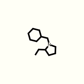 CCC1CCCN1CC1CCCCC1